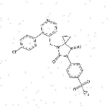 O=C1N(c2ccc(S(=O)(=O)C(F)(F)F)cc2)C(=O)C2(CC2)N1Cc1ccncc1-c1ccc(Cl)cc1